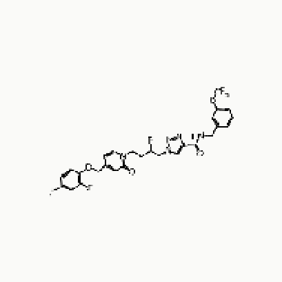 O=C(NCc1cccc(OC(F)(F)F)c1)c1cn(CC(F)CCn2ccc(COc3ccc(F)cc3F)cc2=O)nn1